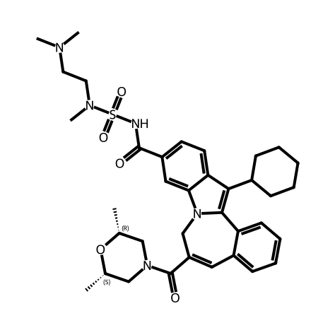 C[C@@H]1CN(C(=O)C2=Cc3ccccc3-c3c(C4CCCCC4)c4ccc(C(=O)NS(=O)(=O)N(C)CCN(C)C)cc4n3C2)C[C@H](C)O1